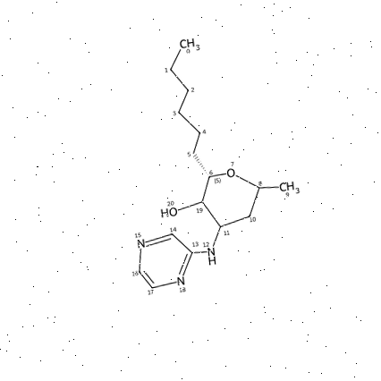 CCCCCC[C@@H]1OC(C)CC(Nc2cnccn2)C1O